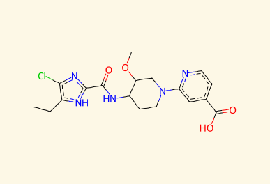 CCc1[nH]c(C(=O)NC2CCN(c3cc(C(=O)O)ccn3)CC2OC)nc1Cl